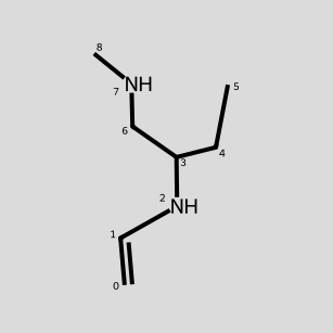 C=CNC(CC)CNC